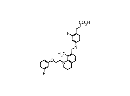 Cc1c(CNc2ccc(CCC(=O)O)c(F)c2)ccc2c1N(CCOc1cccc(F)c1)CCC2